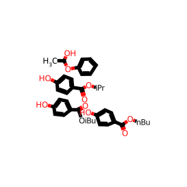 CC(C)COC(=O)c1ccc(O)cc1.CC(C)OC(=O)c1ccc(O)cc1.CC(O)Oc1ccccc1.CCCCOC(=O)c1ccc(O)cc1